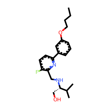 CCCCOc1cccc(-c2ccc(F)c(CN[C@@H](CO)C(C)C)n2)c1